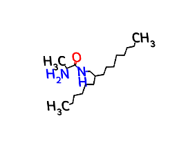 CCCCCCCCC(CCCCCC)CNC(=O)C(C)N